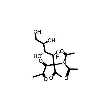 CC(=O)C(=O)[C@@](C(C)=O)([C@@H](O)[C@H](O)[C@H](O)CO)N(C(C)=O)C(C)=O